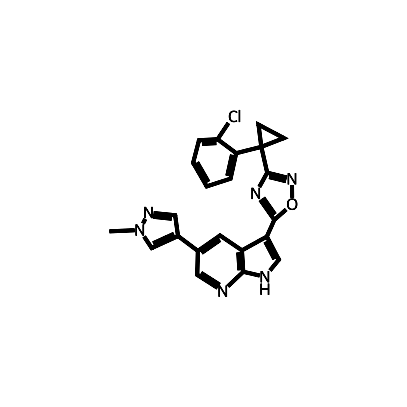 Cn1cc(-c2cnc3[nH]cc(-c4nc(C5(c6ccccc6Cl)CC5)no4)c3c2)cn1